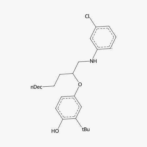 CCCCCCCCCCCCC(CNc1[c]ccc(Cl)c1)Oc1ccc(O)c(C(C)(C)C)c1